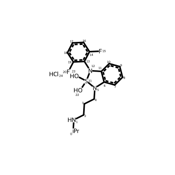 CC(C)NCCCN1c2ccccc2N(c2c(F)cccc2F)S1(O)O.Cl